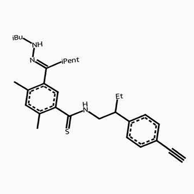 C#Cc1ccc(C(CC)CNC(=S)c2cc(/C(=N/NC(C)CC)C(C)CCC)c(C)cc2C)cc1